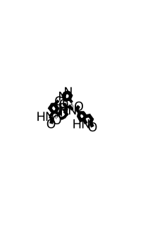 O=C1Nc2ccc(Cl)c(F)c2[C@@]2(CCCN(C(=O)[C@H](Cc3cncnc3)NC(=O)c3ccc4[nH]c(=O)ccc4c3)C2)O1